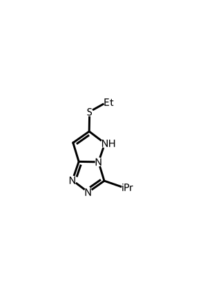 CCSc1cc2nnc(C(C)C)n2[nH]1